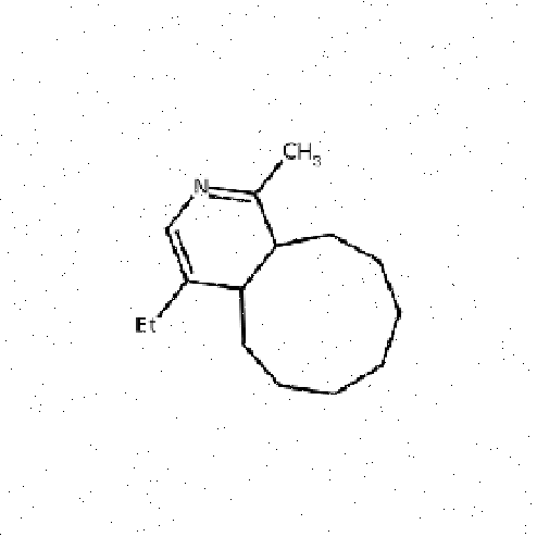 CCC1=CN=C(C)C2CCCCCCCC12